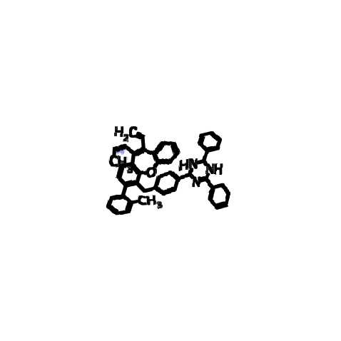 C=CC1=C(/C=C\C)c2ccc(-c3ccccc3C)c(CC3C=CC(C4N=C(C5=CC=CCC5)NC(c5ccccc5)N4)CC3)c2Oc2ccccc21